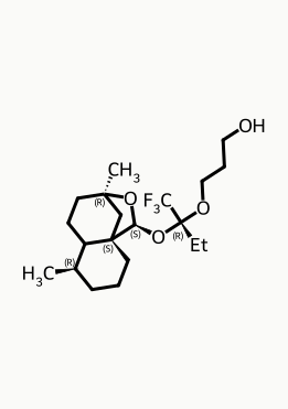 CC[C@@](OCCCO)(O[C@@H]1O[C@]2(C)CCC3[C@H](C)CCC[C@]31C2)C(F)(F)F